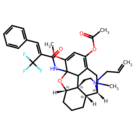 C=CC[N+]1(C)CC[C@]23C4C5=C(OC(C)=O)C=C(OC)C4(NC(=O)C(=Cc4ccccc4)C(F)(F)F)O[C@H]2CCC[C@H]3[C@H]1C5